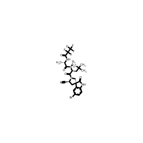 C[C@H](NC(=O)C(F)(F)C(F)(F)F)C(=O)N(C)[C@@H](CC(C)(C)C)C(=O)N1C[C@]2(C[C@H]1C#N)C(=O)Nc1ccc(Br)cc12